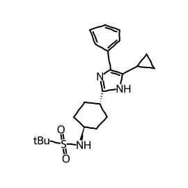 CC(C)(C)S(=O)(=O)N[C@H]1CC[C@H](c2nc(-c3ccccc3)c(C3CC3)[nH]2)CC1